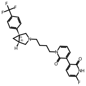 O=c1[nH]c(F)ccc1-c1cccn(CCCCN2C[C@@H]3C[C@]3(c3ccc(C(F)(F)F)cc3)C2)c1=O